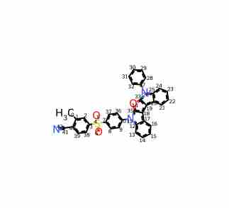 Cc1cc(S(=O)(=O)c2ccc(-n3c4ccccc4c4c5c6ccccc6n(-c6ccccc6)c5oc43)cc2)ccc1C#N